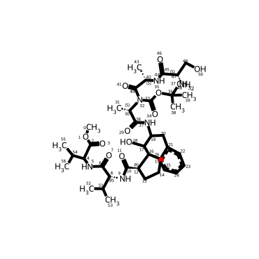 COC(=O)C(NC(=O)[C@H](NC(=O)[C@@H]1CCCC1C(O)C(Cc1ccccc1)NC(=O)[C@H](C)N(C(=O)OC(C)(C)C)C(=O)[C@H](C)NC(=O)[C@@H](N)CO)C(C)C)C(C)C